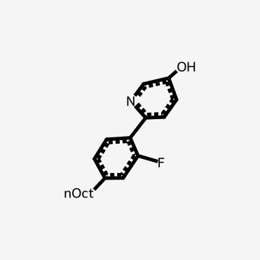 CCCCCCCCc1ccc(-c2ccc(O)cn2)c(F)c1